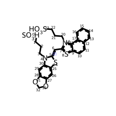 O=S(=O)(O)CCCN1/C(=C/c2sc3ccc4ccccc4c3[n+]2CCCS(=O)(=O)O)Sc2cc3c(cc21)OCO3